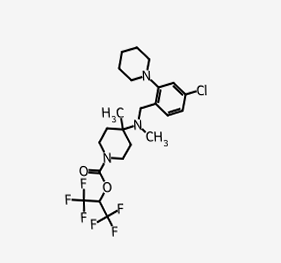 CN(Cc1ccc(Cl)cc1N1CCCCC1)C1(C)CCN(C(=O)OC(C(F)(F)F)C(F)(F)F)CC1